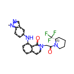 Cn1ncc2cc(Nc3cccc4ccn(CC(=O)N5CCCC[C@H]5C(F)(F)F)c(=O)c34)ccc21